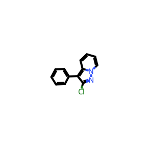 Clc1nn2ccccc2c1-c1ccccc1